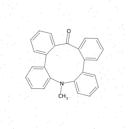 Cn1c2ccccc2c2ccccc2c(=O)c2ccccc2c2ccccc21